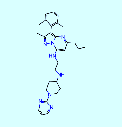 CCCc1cc(NCCNC2CCN(c3ncccn3)CC2)n2nc(C)c(-c3c(C)cccc3C)c2n1